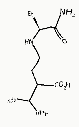 CCCCC(CCC)C(CCN[C@@H](CC)C(N)=O)C(=O)O